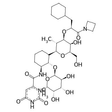 C[C@@H]1[C@@H](O[C@@H](CC2CCCCC2)C(=O)N2CCC2)[C@@H](O)[C@@H](CO)O[C@H]1C1CCC[C@H](NC(=O)c2cc(=O)[nH]c(=O)[nH]2)[C@H]1O[C@@H]1O[C@@H](C)[C@@H](O)[C@@H](O)[C@@H]1O